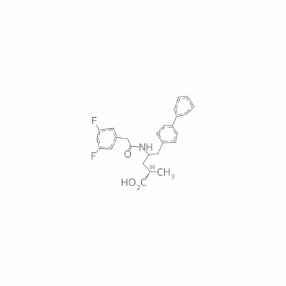 C[C@H](CC(Cc1ccc(-c2ccccc2)cc1)NC(=O)Cc1cc(F)cc(F)c1)C(=O)O